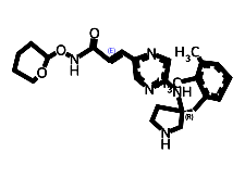 Cc1cccc(C[C@@]2(Nc3cnc(/C=C/C(=O)NOC4CCCCO4)cn3)CCNC2)c1C